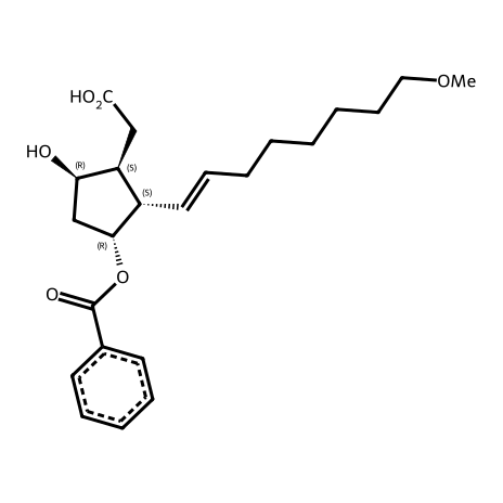 COCCCCCCC=C[C@H]1[C@H](CC(=O)O)[C@H](O)C[C@H]1OC(=O)c1ccccc1